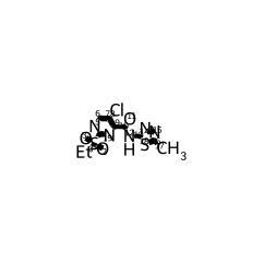 CCS(=O)(=O)c1ncc(Cl)c(C(=O)Nc2nnc(C)s2)n1